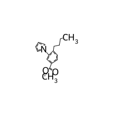 CCCCc1ccc(C(=O)OC)cc1-n1cccc1